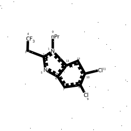 CCCn1c(CC(F)(F)F)nc2cc(Cl)c(Cl)cc21